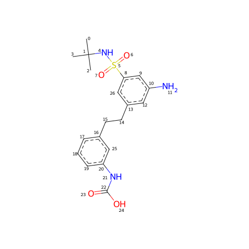 CC(C)(C)NS(=O)(=O)c1cc(N)cc(CCc2cccc(NC(=O)O)c2)c1